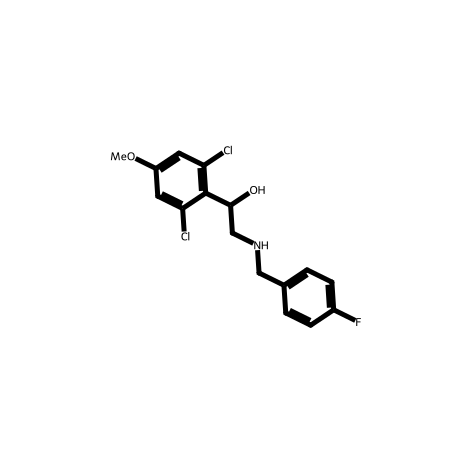 COc1cc(Cl)c(C(O)CNCc2ccc(F)cc2)c(Cl)c1